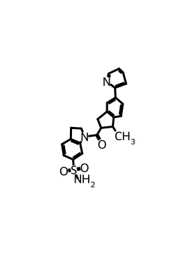 CC1c2ccc(-c3ccccn3)cc2CC1C(=O)N1CCc2ccc(S(N)(=O)=O)cc21